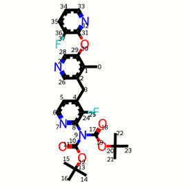 Cc1c(Cc2ccnc(N(C(=O)OC(C)(C)C)C(=O)OC(C)(C)C)c2F)cncc1Oc1ncccc1F